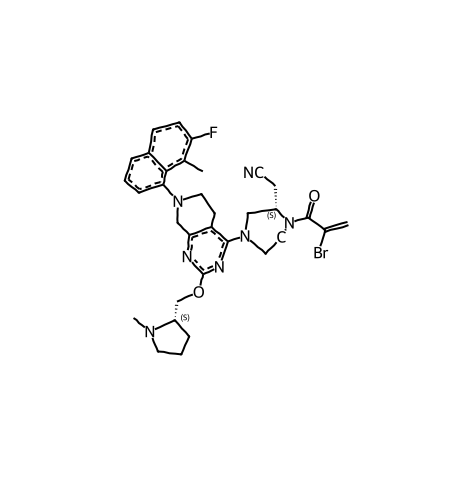 C=C(Br)C(=O)N1CCN(c2nc(OC[C@@H]3CCCN3C)nc3c2CCN(c2cccc4ccc(F)c(C)c24)C3)C[C@@H]1CC#N